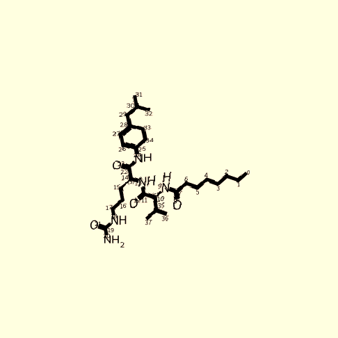 CCCCCCCC(=O)N[C@H](C(=O)N[C@@H](CCCNC(N)=O)C(=O)NC1=CC=C(CC(C)C)CC1)C(C)C